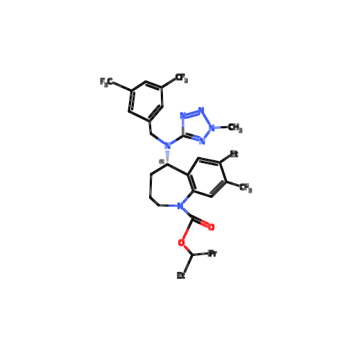 CCc1cc2c(cc1C(F)(F)F)N(C(=O)OC(CC)C(C)C)CCC[C@@H]2N(Cc1cc(C(F)(F)F)cc(C(F)(F)F)c1)c1nnn(C)n1